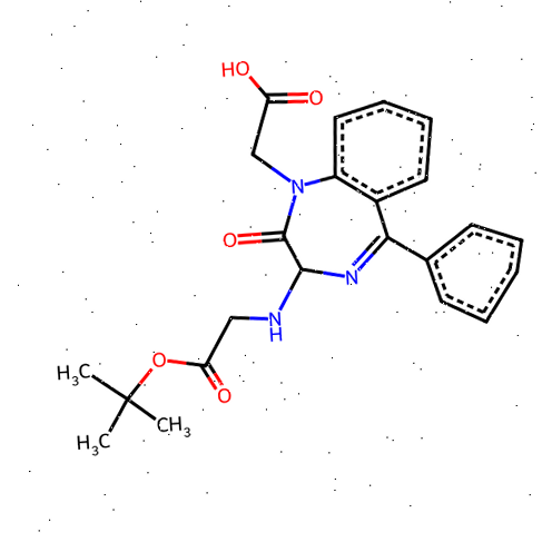 CC(C)(C)OC(=O)CNC1N=C(c2ccccc2)c2ccccc2N(CC(=O)O)C1=O